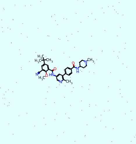 COc1c(C#N)cc(C(C)(C)C)cc1C(=O)Nc1cnc(C)c(-c2ccc(C(=O)NC3CCN(C)CC3)cc2)c1